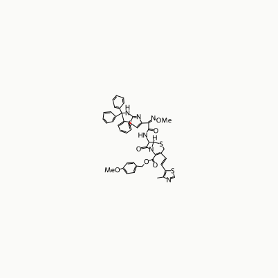 CO/N=C(\C(=O)NC1C(=O)N2C(C(=O)OCc3ccc(OC)cc3)=C(C=Cc3scnc3C)CS[C@@H]12)c1csc(NC(c2ccccc2)(c2ccccc2)c2ccccc2)n1